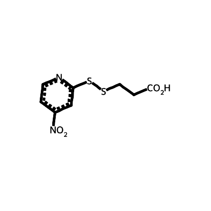 O=C(O)CCSSc1cc([N+](=O)[O-])ccn1